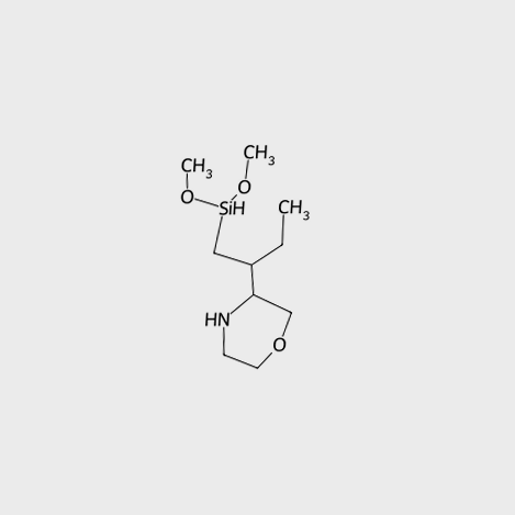 CCC(C[SiH](OC)OC)C1COCCN1